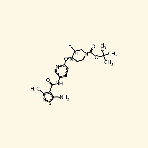 Cc1nsc(N)c1C(=O)Nc1ccc(O[C@@H]2CCN(C(=O)OC(C)(C)C)C[C@@H]2F)nc1